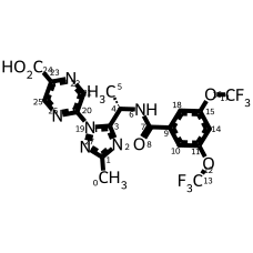 Cc1nc([C@H](C)NC(=O)c2cc(OC(F)(F)F)cc(OC(F)(F)F)c2)n(-c2cnc(C(=O)O)cn2)n1